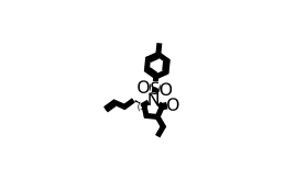 C=CCC[C@H]1CC(CC)C(=O)N1S(=O)(=O)c1ccc(C)cc1